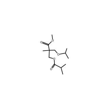 COC(=O)C(C)(COC(=O)C(C)C)COC(C)C